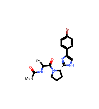 CNC(=O)NC(C(=O)N1CCC[C@H]1c1nc(-c2ccc(Br)cc2)c[nH]1)C(C)C